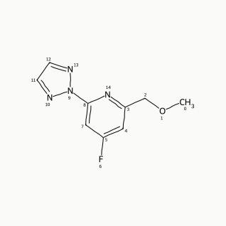 COCc1cc(F)cc(-n2nccn2)n1